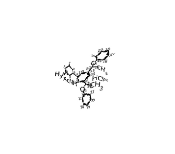 CC(=O)Nc1c(C2CCCN(C)C2)cc(C(C)Oc2ccccc2)cc1C(C)Oc1ccccc1.Cl